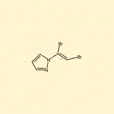 Br/C=C(\Br)n1cccn1